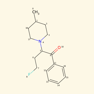 CC1CCN(C(CCF)C(=O)c2ccccc2)CC1